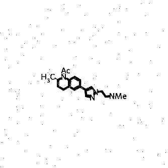 CNCCn1cc(-c2ccc3c(c2)CC[C@H](C)N3C(C)=O)cn1